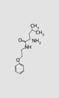 CC(C)C[C@H](N)C(=O)NCCOc1ccccc1